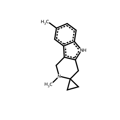 Cc1ccc2[nH]c3c(c2c1)CN(C)C1(CC1)C3